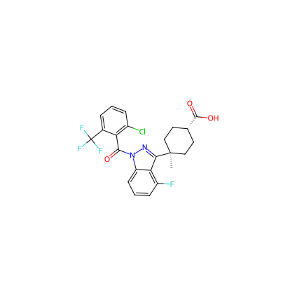 C[C@]1(c2nn(C(=O)c3c(Cl)cccc3C(F)(F)F)c3cccc(F)c32)CC[C@H](C(=O)O)CC1